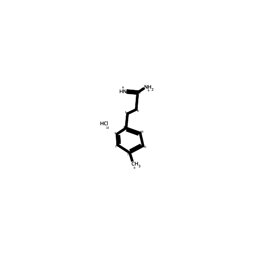 Cc1ccc(CCC(=N)N)cc1.Cl